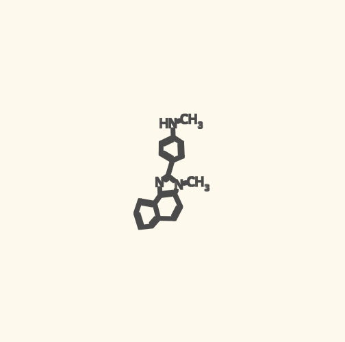 CNc1ccc(-c2nc3c4ccccc4ccc3n2C)cc1